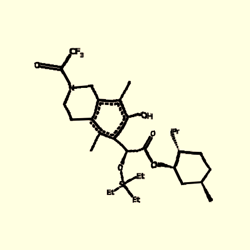 CC[Si](CC)(CC)O[C@H](C(=O)O[C@@H]1C[C@H](C)CC[C@H]1C(C)C)c1c(C)c2c(c(C)c1O)CN(C(=O)C(F)(F)F)CC2